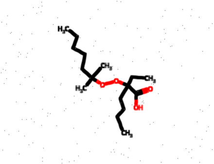 CCCCCC(C)(C)OOC(CC)(CCCC)C(=O)O